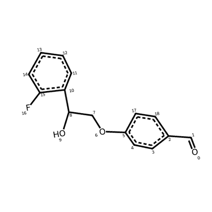 O=Cc1ccc(OCC(O)c2ccccc2F)cc1